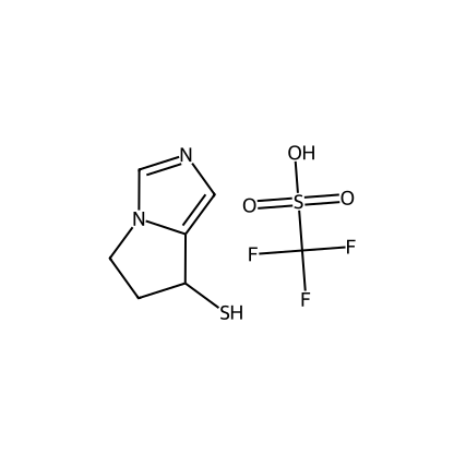 O=S(=O)(O)C(F)(F)F.SC1CCn2cncc21